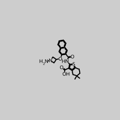 CC1(C)CCc2sc(NC(=O)c3cc4ccccc4cc3OC3CN(N)C3)c(C(=O)O)c2C1